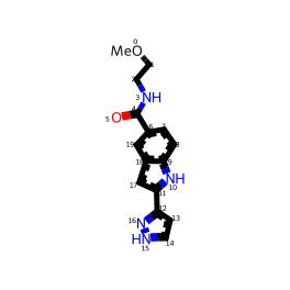 COCCNC(=O)c1ccc2[nH]c(-c3cc[nH]n3)cc2c1